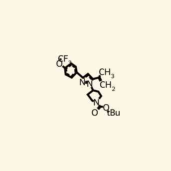 C=C(C)c1cc(-c2ccc(OC(F)(F)F)cc2)nn1C1CCN(C(=O)OC(C)(C)C)CC1